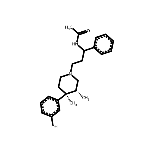 CC(=O)NC(CCN1CC[C@](C)(c2cccc(O)c2)[C@@H](C)C1)c1ccccc1